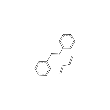 C(=Cc1ccccc1)c1ccccc1.C=CC=C